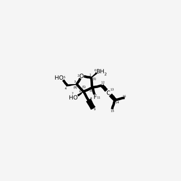 B[C@@H]1O[C@H](CO)[C@@](O)(C#C)C1(F)C=C=C(C)C